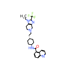 CCn1c(C(F)(F)F)nc2c1CCN(CC[C@H]1CC[C@H](NC(=O)c3cccc4ncccc34)CC1)C2